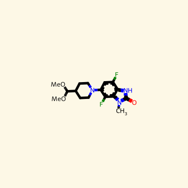 COC(OC)C1CCN(c2cc(F)c3[nH]c(=O)n(C)c3c2F)CC1